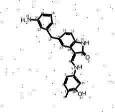 Cc1ccc(NC=C2C(=O)Nc3ccc(Cc4cccc(N)c4)cc32)cc1O